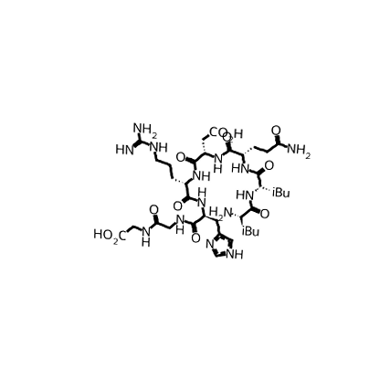 CC[C@H](C)[C@H](N)C(=O)N[C@H](C(=O)N[C@@H](CCC(N)=O)C(=O)N[C@@H](CC(=O)O)C(=O)N[C@@H](CCCNC(=N)N)C(=O)N[C@@H](Cc1c[nH]cn1)C(=O)NCC(=O)NCC(=O)O)[C@@H](C)CC